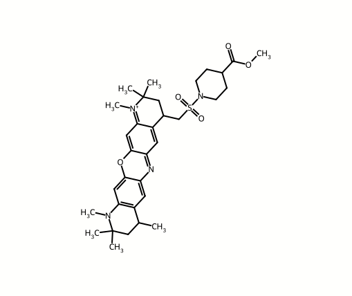 COC(=O)C1CCN(S(=O)(=O)CC2CC(C)(C)[N+](C)=c3cc4c(cc32)=Nc2cc3c(cc2O4)N(C)C(C)(C)CC3C)CC1